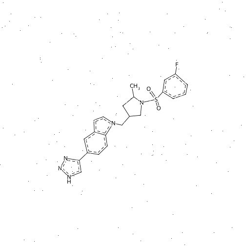 CC1CC(Cn2ccc3cc(-c4c[nH]nn4)ccc32)CN1S(=O)(=O)c1cccc(F)c1